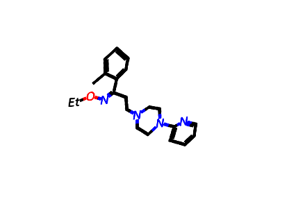 CCON=C(CCN1CCN(c2ccccn2)CC1)c1ccccc1C